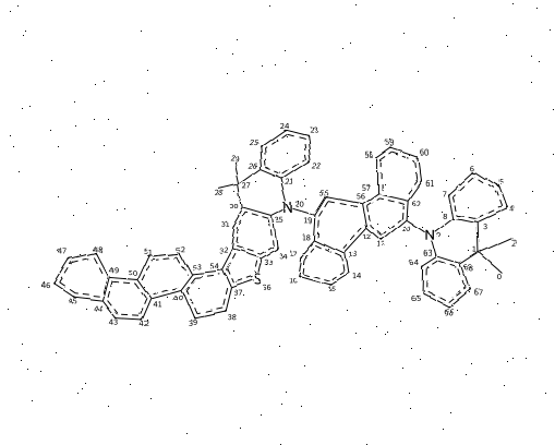 CC1(C)c2ccccc2N(c2cc3c4ccccc4c(N4c5ccccc5C(C)(C)c5cc6c(cc54)sc4ccc5c7ccc8ccccc8c7ccc5c46)cc3c3ccccc23)c2ccccc21